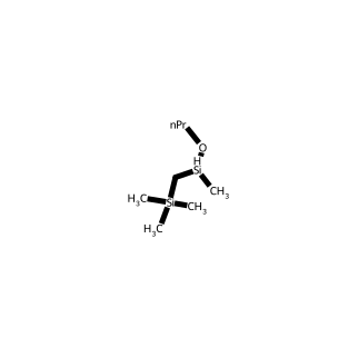 CCCO[SiH](C)C[Si](C)(C)C